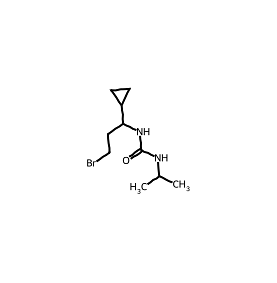 CC(C)NC(=O)NC(CCBr)C1CC1